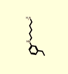 CCc1cccc(NCCCCCN)c1